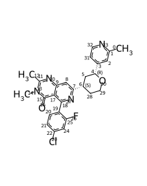 Cc1cc([C@H]2C[C@@H](c3cc4nc(C)n(C)c(=O)c4c(-c4ccc(Cl)cc4F)n3)CCO2)ccn1